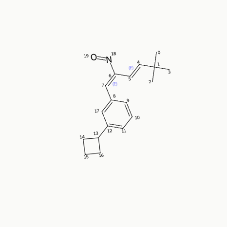 CC(C)(C)/C=C/C(=C\c1cccc(C2CCC2)c1)N=O